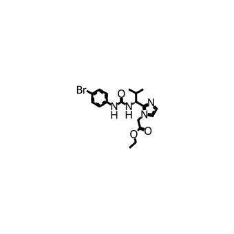 CCOC(=O)Cn1ccnc1[C@@H](NC(=O)Nc1ccc(Br)cc1)C(C)C